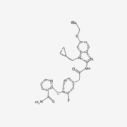 CC(C)(C)COc1ccc2nc(NC(=O)Cc3ccc(Oc4ncccc4C(N)=O)c(F)c3)n(CC3CC3)c2c1